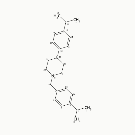 CC(C)c1ccc(CN2CCN(c3ccc(C(C)C)cc3)CC2)cc1